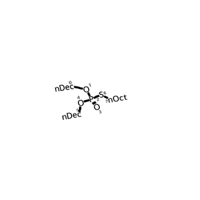 CCCCCCCCCCOP(=O)(OCCCCCCCCCC)SCCCCCCCC